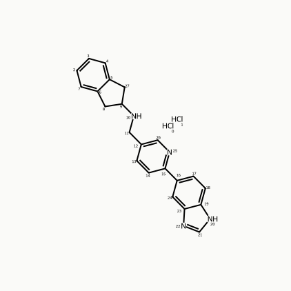 Cl.Cl.c1ccc2c(c1)CC(NCc1ccc(-c3ccc4[nH]cnc4c3)nc1)C2